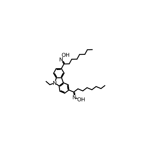 CCCCCCC/C(=N\O)c1ccc2c(c1)c1cc(/C(CCCCCCC)=N/O)ccc1n2CC